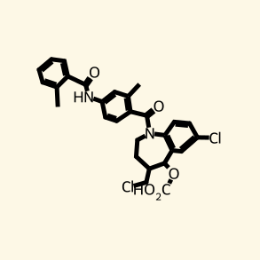 Cc1ccccc1C(=O)Nc1ccc(C(=O)N2CCC(CCl)C(OC(=O)O)c3cc(Cl)ccc32)c(C)c1